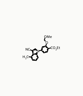 CCOC(=O)c1ccc(-n2cc(C#N)c3c(C)cccc32)cc1OCOC